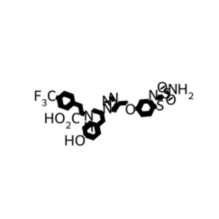 NS(=O)(=O)c1nc2cc(OCc3cn(C(CNC(Cc4ccc(C(F)(F)F)cc4)C(=O)O)Cc4ccc(O)cc4)nn3)ccc2s1